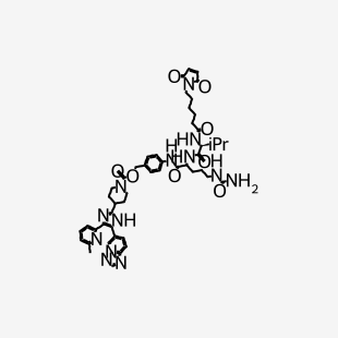 Cc1cccc(-c2nc(C3CCN(C(=O)OCc4ccc(NC(=O)C(CCCNC(N)=O)NC(=O)[C@@H](NC(=O)CCCCCN5C(=O)C=CC5=O)C(C)C)cc4)CC3)[nH]c2-c2ccc3ncnn3c2)n1